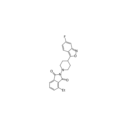 CCc1cccc2c1C(=O)N(N1CCC(c3onc4cc(F)ccc34)CC1)C2=O